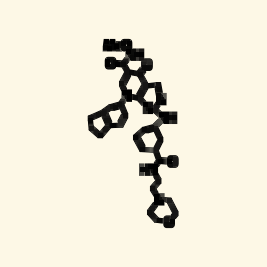 CONC(=O)c1cn(-c2ccc3c(c2)CCC3)c2nc(NC3=CC=CC(C(=O)NCCN4CCOCC4)C3)ncc2c1=O